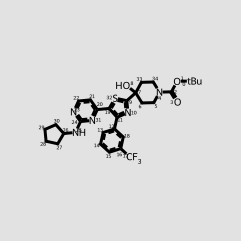 CC(C)(C)OC(=O)N1CCC(O)(c2nc(-c3cccc(C(F)(F)F)c3)c(-c3ccnc(NC4CCCC4)n3)s2)CC1